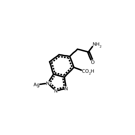 NC(=O)Cc1ccc2c(nn[n]2[Ag])c1C(=O)O